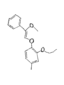 CCOc1cc(C)ccc1OC=C(OC)c1ccccc1